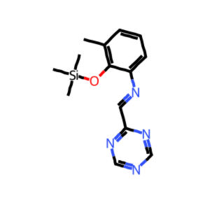 Cc1cccc(N=Cc2ncncn2)c1O[Si](C)(C)C